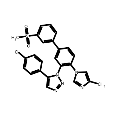 Cc1cn(-c2ccc(-c3cccc(S(C)(=O)=O)c3)cc2-n2nncc2-c2ccc(Cl)cc2)cn1